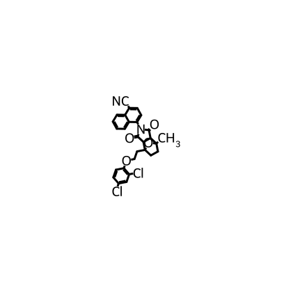 CC12CCC(CCOc3ccc(Cl)cc3Cl)(O1)C1C(=O)N(c3ccc(C#N)c4ccccc34)C(=O)C12